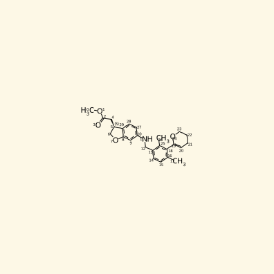 COC(=O)C[C@@H]1COc2cc(NCc3ccc(C)c(C4=CCCCO4)c3C)ccc21